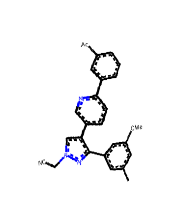 COc1cc(C)cc(-c2nn(CC#N)cc2-c2ccc(-c3cccc(C(C)=O)c3)nc2)c1